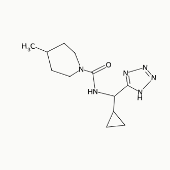 CC1CCN(C(=O)NC(c2nnn[nH]2)C2CC2)CC1